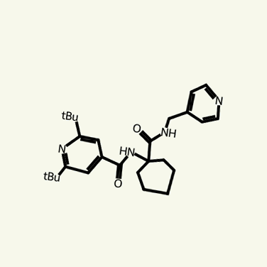 CC(C)(C)c1cc(C(=O)NC2(C(=O)NCc3ccncc3)CCCCC2)cc(C(C)(C)C)n1